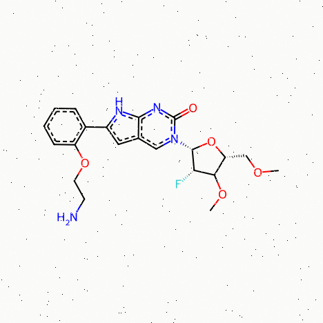 COC[C@H]1O[C@@H](n2cc3cc(-c4ccccc4OCCN)[nH]c3nc2=O)[C@@H](F)C1OC